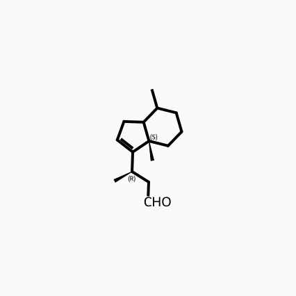 CC1CCC[C@]2(C)C([C@H](C)CC=O)=CCC12